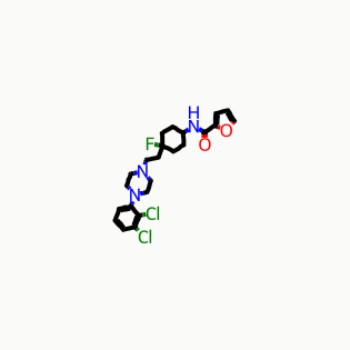 O=C(NC1CCC(F)(CCN2CCN(c3cccc(Cl)c3Cl)CC2)CC1)c1ccco1